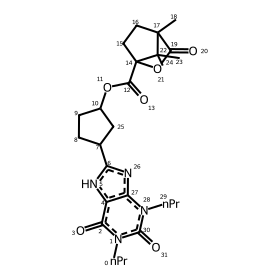 CCCn1c(=O)c2[nH]c(C3CCC(OC(=O)C45CCC(C)(C(=O)O4)C5(C)C)C3)nc2n(CCC)c1=O